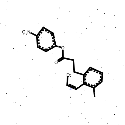 CC/C=C\c1c(C)cccc1CCC(=O)Oc1ccc([N+](=O)[O-])cc1